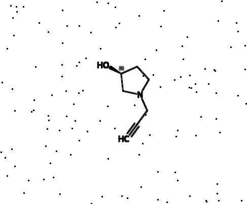 C#CCN1CC[C@H](O)C1